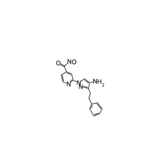 Nc1cn(-c2cc(C(=O)N=O)ccn2)nc1CCc1ccccc1